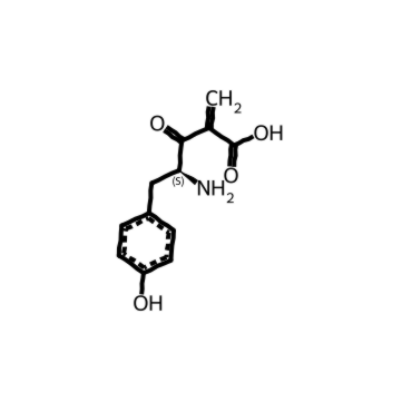 C=C(C(=O)O)C(=O)[C@@H](N)Cc1ccc(O)cc1